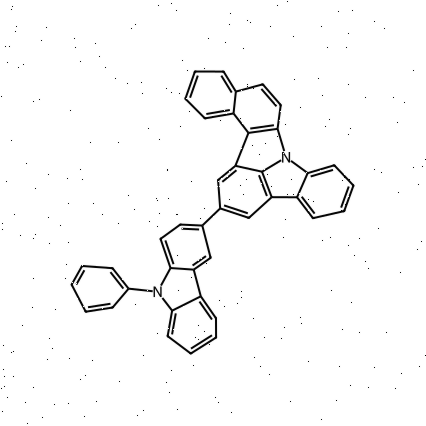 c1ccc(-n2c3ccccc3c3cc(-c4cc5c6ccccc6n6c7ccc8ccccc8c7c(c4)c56)ccc32)cc1